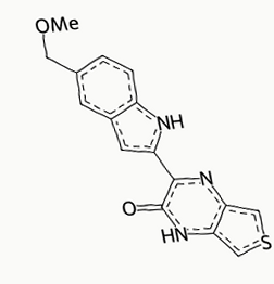 COCc1ccc2[nH]c(-c3nc4cscc4[nH]c3=O)cc2c1